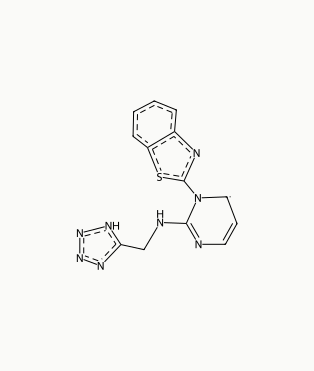 [CH]1C=CN=C(NCc2nnn[nH]2)N1c1nc2ccccc2s1